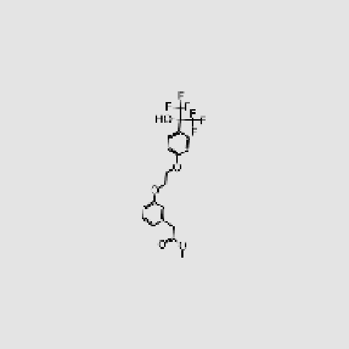 COC(=O)Cc1cccc(OCCOc2ccc(C(O)(C(F)(F)F)C(F)(F)F)cc2)c1